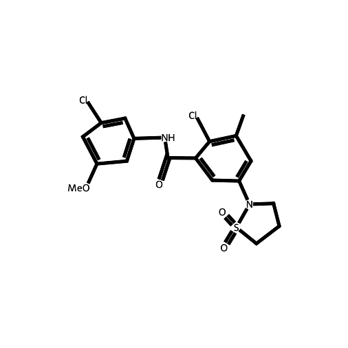 COc1cc(Cl)cc(NC(=O)c2cc(N3CCCS3(=O)=O)cc(C)c2Cl)c1